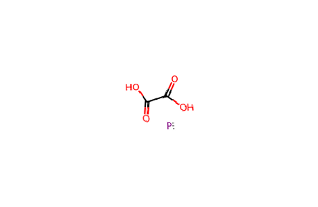 O=C(O)C(=O)O.[P]